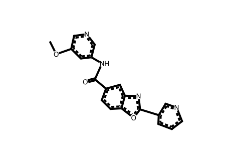 COc1cncc(NC(=O)c2ccc3oc(-c4cccnc4)nc3c2)c1